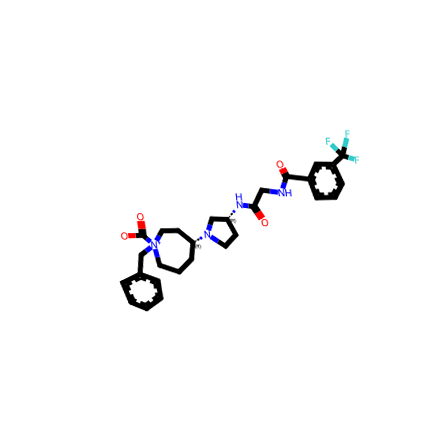 O=C(CNC(=O)c1cccc(C(F)(F)F)c1)N[C@@H]1CCN([C@@H]2CCC[N+](Cc3ccccc3)(C(=O)[O-])CC2)C1